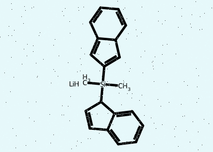 C[Si](C)(C1=CC2C=CC=CC2=C1)C1C=Cc2ccccc21.[LiH]